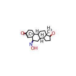 C[C@]12CCC(=O)CC1/C(=N/O)C[C@@H]1[C@@H]2CC[C@]2(C)C(=O)CC[C@@H]12